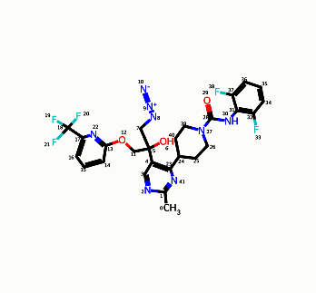 Cc1ncc(C(O)(CN=[N+]=[N-])COc2cccc(C(F)(F)F)n2)c(C2CCN(C(=O)Nc3c(F)cccc3F)CC2)n1